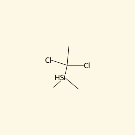 C[SiH](C)C(C)(Cl)Cl